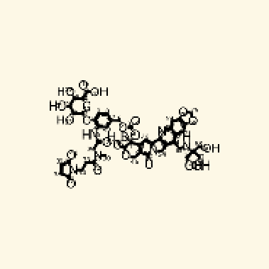 B[C@@]1(OC(=O)OCc2ccc(OC3OC(C(=O)O)C(O)C(O)C3O)c(NC(=O)CN(C)C(=O)CCN3C(=O)C=CC3=O)c2)C(=O)OCc2c1cc1n(c2=O)Cc2c-1nc1cc3c(cc1c2CNC(CO)(CO)CO)OCO3